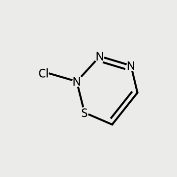 ClN1N=NC=CS1